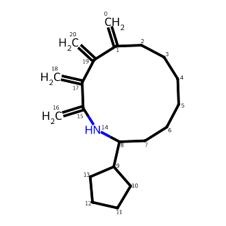 C=C1CCCCCCC(C2CCCC2)NC(=C)C(=C)C1=C